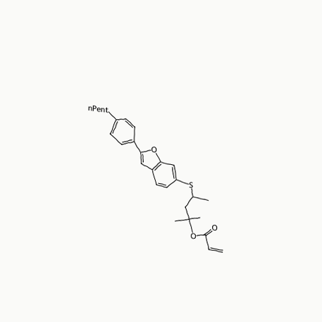 C=CC(=O)OC(C)(C)CC(C)Sc1ccc2cc(-c3ccc(CCCCC)cc3)oc2c1